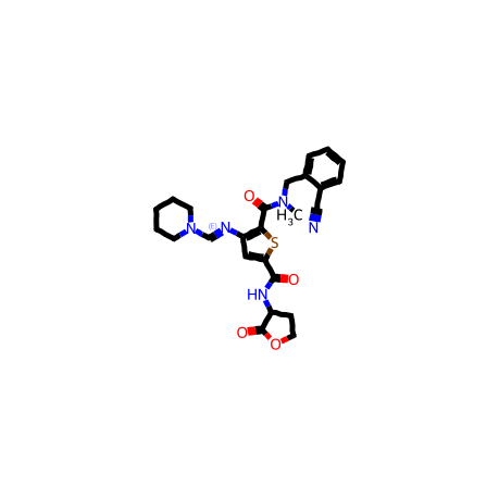 CN(Cc1ccccc1C#N)C(=O)c1sc(C(=O)NC2CCOC2=O)cc1/N=C/N1CCCCC1